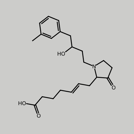 Cc1cccc(CC(O)CCN2CCC(=O)C2CC=CCCCC(=O)O)c1